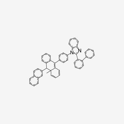 CC12C=CC=CC1=C(c1ccc(-n3c(-c4ccccc4-c4ccccc4)nc4ccccc43)cc1)c1ccccc1C2c1ccc2ccccc2c1